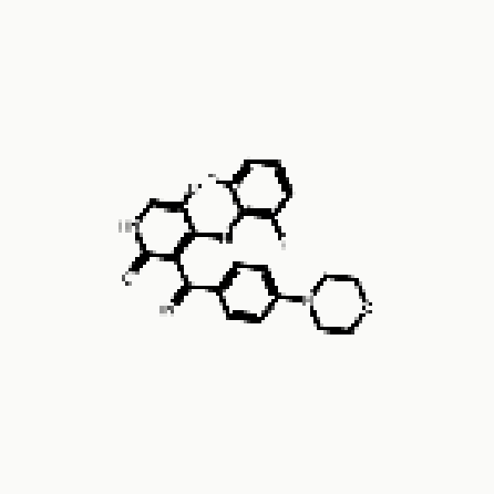 N=C(c1ccc(N2CCOCC2)cc1)c1c(Nc2c(F)cccc2F)c(Br)c[nH]c1=O